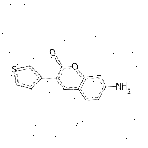 Nc1ccc2cc(-c3ccsc3)c(=O)oc2c1